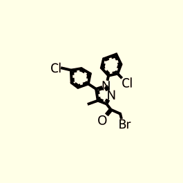 Cc1c(C(=O)CBr)nn(-c2ccccc2Cl)c1-c1ccc(Cl)cc1